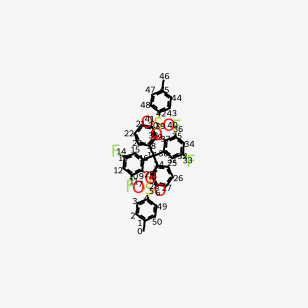 Cc1ccc(S(=O)(=O)Oc2c(F)cc(F)cc2C(c2ccccc2)(c2ccccc2)c2cc(F)cc(F)c2OS(=O)(=O)c2ccc(C)cc2)cc1